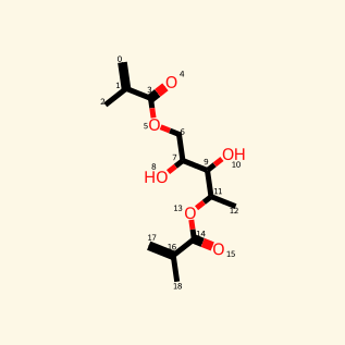 C=C(C)C(=O)OCC(O)C(O)C(C)OC(=O)C(=C)C